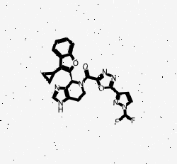 O=C(c1nnc(-c2ccn(C(F)F)n2)o1)N1CCc2[nH]cnc2[C@H]1c1oc2ccccc2c1C1CC1